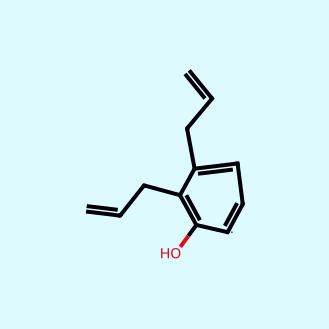 C=CCc1cc[c]c(O)c1CC=C